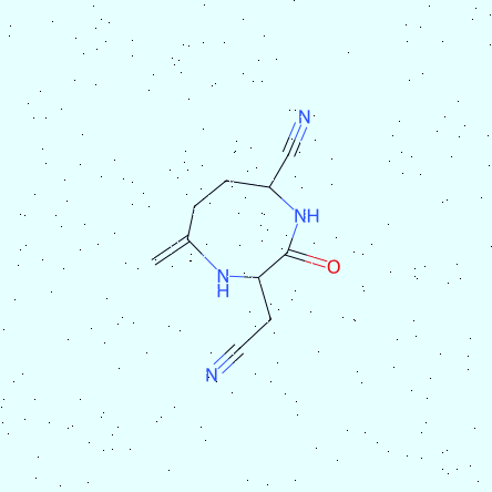 C=C1CCC(C#N)NC(=O)C(CC#N)N1